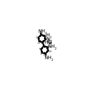 Cl.Nc1ccc(-c2ccc(N)cc2)cc1.[NH2][Ni][NH2]